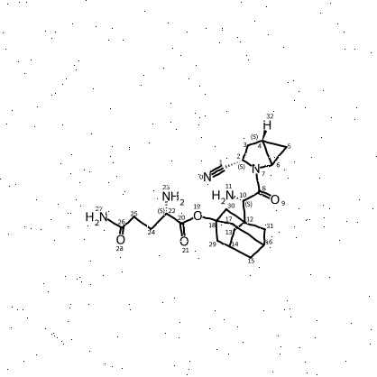 N#C[C@@H]1C[C@@H]2CC2N1C(=O)[C@@H](N)C12CC3CC(CC(OC(=O)[C@@H](N)CCC(N)=O)(C3)C1)C2